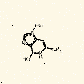 CC(C)(C)n1cnc2c1C=C(N)NC2O